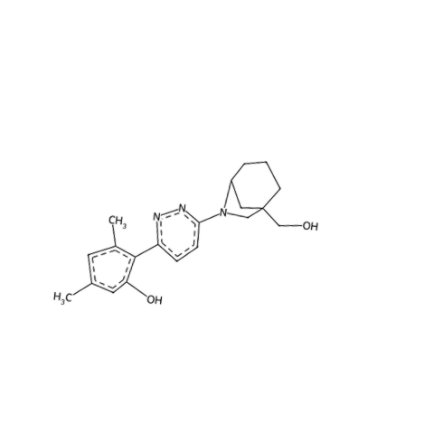 Cc1cc(C)c(-c2ccc(N3CC4(CO)CCCC3C4)nn2)c(O)c1